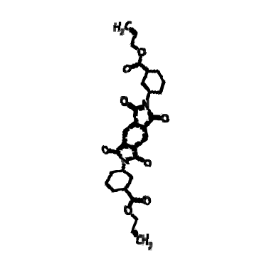 C=CCOC(=O)C1CCCC(n2c(=O)c3cc4c(=O)n(C5CCCC(C(=O)OCC=C)C5)c(=O)c4cc3c2=O)C1